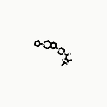 Cc1nc(C)c(C(=O)N2CCN(c3ccc4c(c3)CCN(C3CCCC3)CC4)CC2)o1